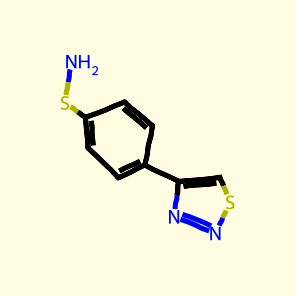 NSc1ccc(-c2csnn2)cc1